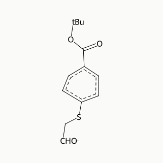 CC(C)(C)OC(=O)c1ccc(SC[C]=O)cc1